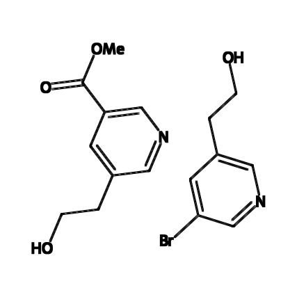 COC(=O)c1cncc(CCO)c1.OCCc1cncc(Br)c1